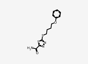 NC(=O)c1nnc(SCCCCOc2ccccc2)s1